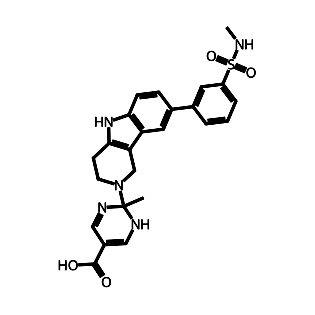 CNS(=O)(=O)c1cccc(-c2ccc3[nH]c4c(c3c2)CN(C2(C)N=CC(C(=O)O)=CN2)CC4)c1